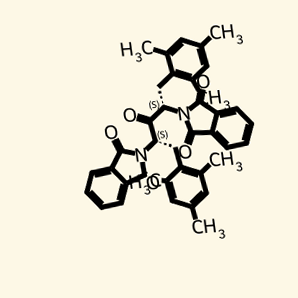 Cc1cc(C)c(C[C@@H](C(=O)[C@H](Cc2c(C)cc(C)cc2C)N2C(=O)c3ccccc3C2=O)N2C(=O)c3ccccc3C2=O)c(C)c1